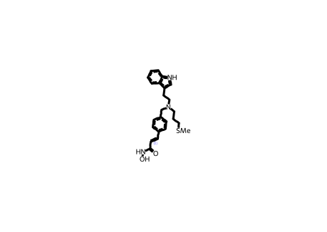 CSCCCN(CCc1c[nH]c2ccccc12)Cc1ccc(/C=C/C(=O)NO)cc1